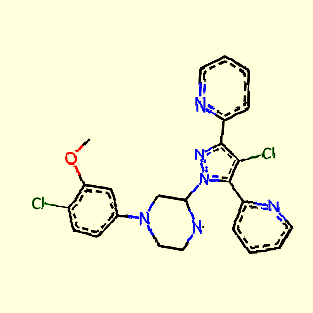 COc1cc(N2CC[N]C(n3nc(-c4ccccn4)c(Cl)c3-c3ccccn3)C2)ccc1Cl